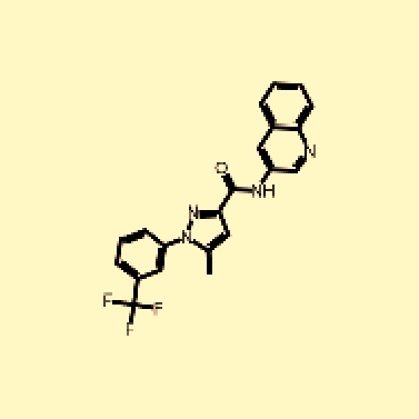 Cc1cc(C(=O)Nc2cnc3ccccc3c2)nn1-c1cccc(C(F)(F)F)c1